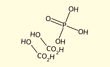 O=C(O)O.O=C(O)O.O=P(O)(O)O